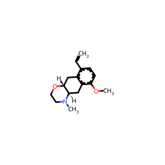 C=Cc1ccc(OC)c2c1C[C@H]1OCCN(C)[C@@H]1C2